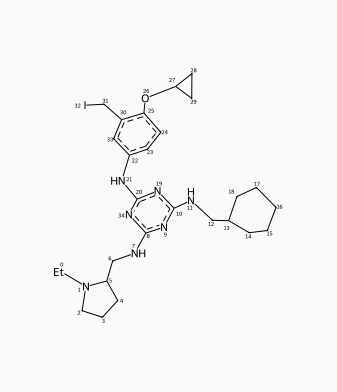 CCN1CCCC1CNc1nc(NCC2CCCCC2)nc(Nc2ccc(OC3CC3)c(CI)c2)n1